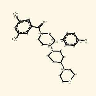 O=C(c1cc(C(F)(F)F)cc(C(F)(F)F)c1)N1CC[C@@H](N2CCC(N3CCOCC3)CC2)[C@@H](c2ccc(Cl)cc2)C1